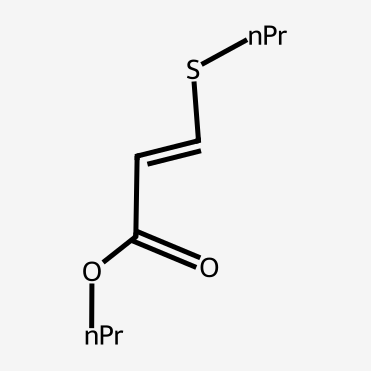 CCCOC(=O)C=CSCCC